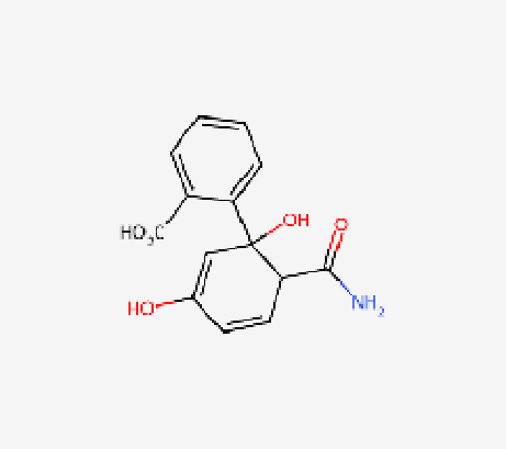 NC(=O)C1C=CC(O)=CC1(O)c1ccccc1C(=O)O